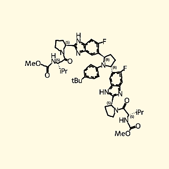 COC(=O)N[C@H](C(=O)N1CCC[C@H]1c1nc2cc([C@H]3CC[C@H](c4cc5[nH]c([C@@H]6CCCN6C(=O)[C@@H](NC(=O)OC)C(C)C)nc5cc4F)N3c3ccc(C(C)(C)C)cc3)c(F)cc2[nH]1)C(C)C